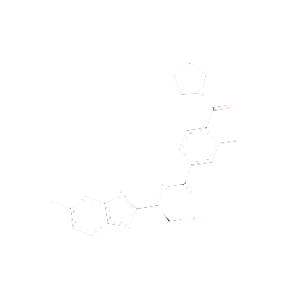 Cc1cc(C(=O)N[C@@H](CO)c2nc3cc(Cl)ccc3[nH]2)ccc1C(=O)N1CCCC1